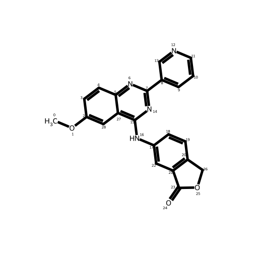 COc1ccc2nc(-c3cccnc3)nc(Nc3ccc4c(c3)C(=O)OC4)c2c1